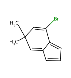 CC1(C)C=C(Br)C2=CC=CC2=C1